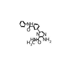 CNC(=O)c1nc(-c2cccc(C(=O)Nc3ccccc3)c2)cnc1N